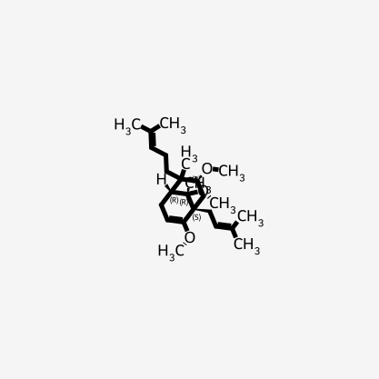 COC1=CC[C@@H]2C(C)(CCC=C(C)C)[C@H](OC)C[C@@]1(CC=C(C)C)[C@]2(C)OC